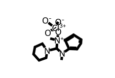 CN1c2ccccc2[N+](C)(O[Cl+3]([O-])([O-])[O-])C1N1CCCCC1